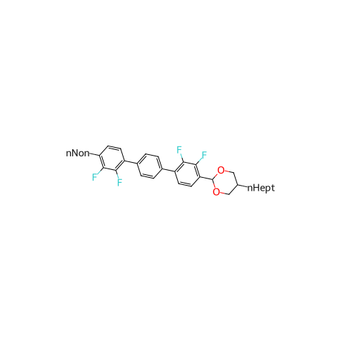 CCCCCCCCCc1ccc(-c2ccc(-c3ccc(C4OCC(CCCCCCC)CO4)c(F)c3F)cc2)c(F)c1F